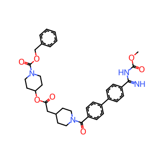 COC(=O)NC(=N)c1ccc(-c2ccc(C(=O)N3CCC(CC(=O)OC4CCN(C(=O)OCc5ccccc5)CC4)CC3)cc2)cc1